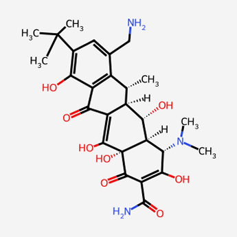 C[C@H]1c2c(CN)cc(C(C)(C)C)c(O)c2C(=O)C2=C(O)[C@]3(O)C(=O)C(C(N)=O)=C(O)[C@@H](N(C)C)[C@@H]3[C@@H](O)[C@@H]21